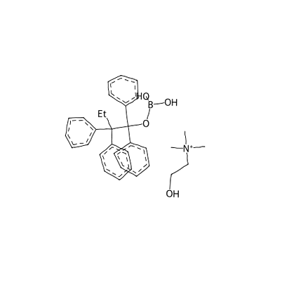 CCC(c1ccccc1)(c1ccccc1)C(OB(O)O)(c1ccccc1)c1ccccc1.C[N+](C)(C)CCO